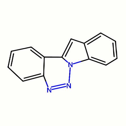 c1ccc2c(c1)cc1c3ccccc3nnn21